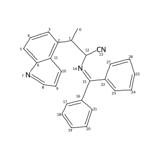 CC(c1cccc2ncccc12)C(C#N)N=C(c1ccccc1)c1ccccc1